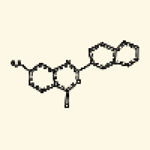 O=c1oc(-c2ccc3ccccc3c2)nc2cc([N+](=O)[O-])ccc12